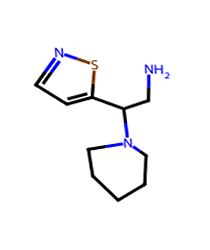 NCC(c1ccns1)N1CCCCC1